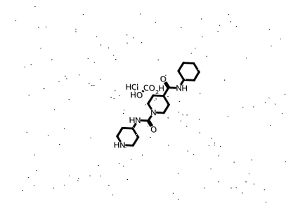 Cl.O=C(NC1CCCCC1)C1CCN(C(=O)NC2CCNCC2)CC1.O=C(O)O